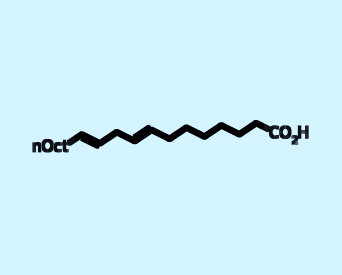 CCCCCCCCC=CCC=CCCCCCCC(=O)O